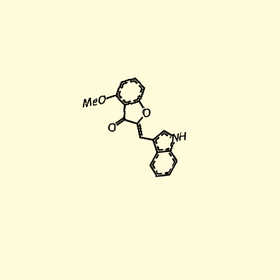 COc1cccc2c1C(=O)C(=Cc1c[nH]c3ccccc13)O2